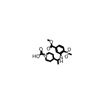 COC(=O)c1ccc(S(C)(=O)=O)c(NC(C)C2CCN(C(=O)O)CC2)c1